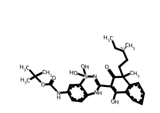 CC[C@H](C)CCC1(C)C(=O)C(C2=NS(O)(O)c3cc(NC(=O)OC(C)(C)C)ccc3N2)=C(O)c2ccccc21